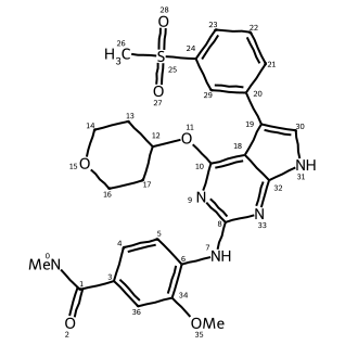 CNC(=O)c1ccc(Nc2nc(OC3CCOCC3)c3c(-c4cccc(S(C)(=O)=O)c4)c[nH]c3n2)c(OC)c1